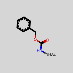 CC(=O)NNC(=O)OCc1ccccc1